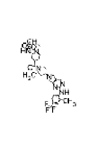 Cc1cc(C(F)(F)F)ccc1Nc1ncc2c(n1)CN([C@@H]1CCN(C(=O)c3ccnc(NS(C)(=O)=O)c3)[C@H](C)C1)C2